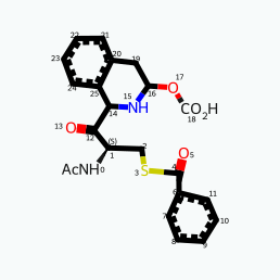 CC(=O)N[C@H](CSC(=O)c1ccccc1)C(=O)C1NC(OC(=O)O)Cc2ccccc21